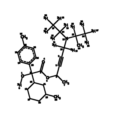 [2H]OC(C(=O)OC(C)C#CC([2H])([2H])N(C([2H])([2H])C([2H])([2H])[2H])C([2H])(C)C([2H])([2H])[2H])(c1ccc(C)cc1)C1CCCC(C)C1